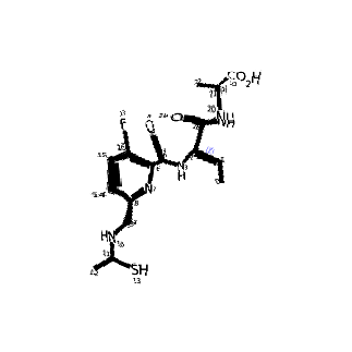 C/C=C(\NC(=O)c1nc(CNC(C)S)ccc1F)C(=O)N[C@@H](C)C(=O)O